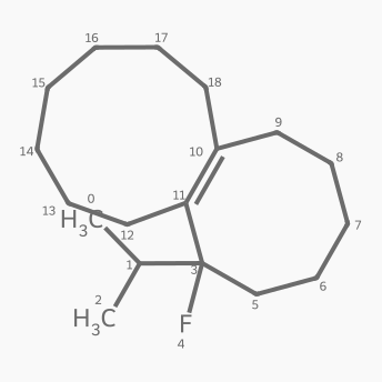 CC(C)C1(F)CCCCC/C2=C\1CCCCCCC2